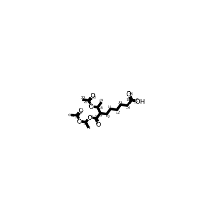 CC(=O)OC(C)OC(=O)C(CCCCCC(=O)O)C(C)OC(C)=O